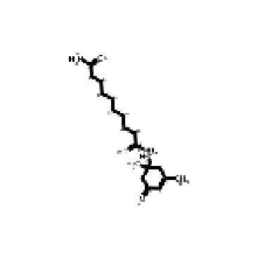 CC1=CC(=O)CC(C)(C)C1.NC(=O)CCCCCCCCC(N)=O